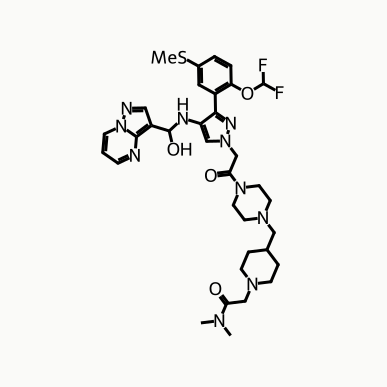 CSc1ccc(OC(F)F)c(-c2nn(CC(=O)N3CCN(CC4CCN(CC(=O)N(C)C)CC4)CC3)cc2NC(O)c2cnn3cccnc23)c1